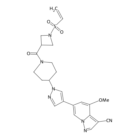 C=CS(=O)(=O)N1CC(C(=O)N2CCC(n3cc(-c4cc(OC)c5c(C#N)cnn5c4)cn3)CC2)C1